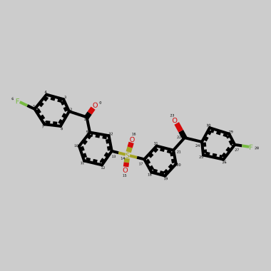 O=C(c1ccc(F)cc1)c1cccc(S(=O)(=O)c2cccc(C(=O)c3ccc(F)cc3)c2)c1